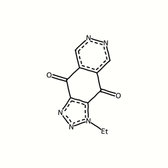 CCn1nnc2c1C(=O)c1cnncc1C2=O